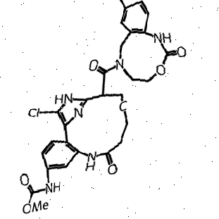 COC(=O)Nc1ccc2c(c1)NC(=O)CCCCC(C(=O)N1CCOC(=O)Nc3ccc(Cl)cc3C1)c1nc-2c(Cl)[nH]1